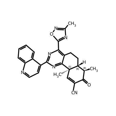 Cc1noc(-c2nc(-c3ccnc4ccccc34)nc3c2CC[C@@H]2[C@@H](C)C(=O)C(C#N)=C[C@@]32C)n1